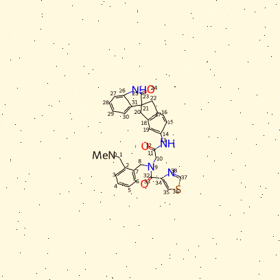 CNCc1ccccc1CN(CC(=O)Nc1ccc2c(c1)CC1(C2)C(=O)Nc2ccccc21)C(=O)c1cscn1